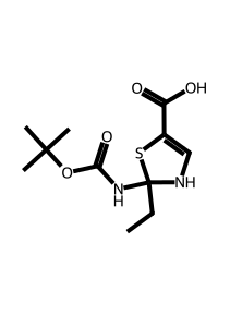 CCC1(NC(=O)OC(C)(C)C)NC=C(C(=O)O)S1